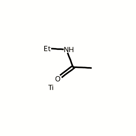 CCNC(C)=O.[Ti]